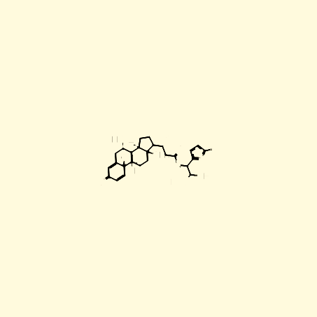 CC(C)C(NC(=O)C[C@@H](C)C1CC[C@H]2C3[C@H](O)CC4=CC(=O)C=CC4(C)[C@H]3CCC12C)c1ccc(Cl)s1